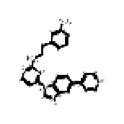 O=[N+]([O-])c1cccc(CCNc2nccc(-n3cnc4cc(-c5ccncc5)ccc43)n2)c1